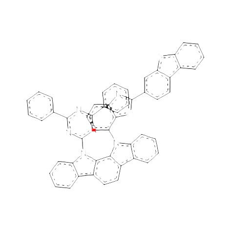 c1ccc(-c2nc(-c3ccccc3)nc(-n3c4ccccc4c4ccc5c6ccccc6n(-c6cccc7nc(-c8ccc9c(c8)sc8ccccc89)oc67)c5c43)n2)cc1